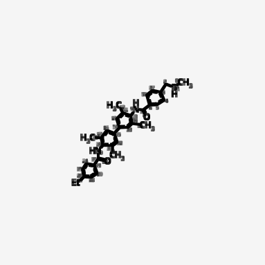 CBCc1ccc(C(=O)Nc2c(C)cc(-c3cc(C)c(NC(=O)c4ccc(CC)cc4)c(C)c3)cc2C)cc1